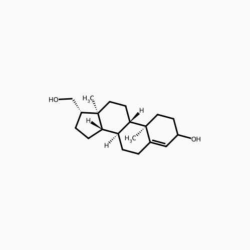 C[C@]12CC[C@H]3[C@@H](CCC4=CC(O)CC[C@@]43C)[C@@H]1CC[C@@H]2CO